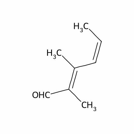 C/C=C\C(C)=C(/C)C=O